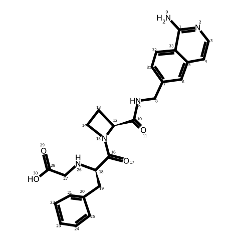 Nc1nccc2cc(CNC(=O)[C@@H]3CCN3C(=O)[C@@H](Cc3ccccc3)NCC(=O)O)ccc12